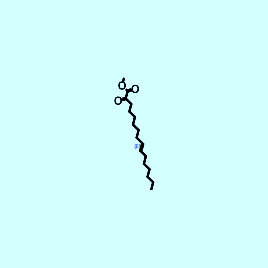 CCCCCC/C=C/CCCCCCC(=O)C(=O)OC